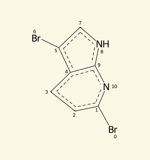 Brc1ccc2c(Br)c[nH]c2n1